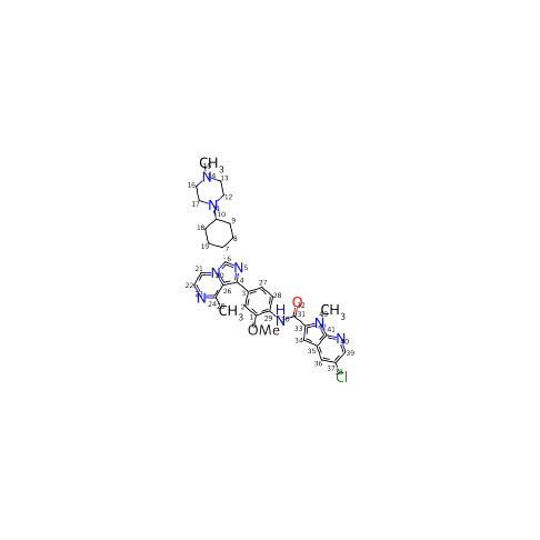 COc1cc(-c2nc([C@H]3CC[C@H](N4CCN(C)CC4)CC3)n3ccnc(C)c23)ccc1NC(=O)c1cc2cc(Cl)cnc2n1C